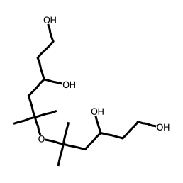 CC(C)(CC(O)CCO)OC(C)(C)CC(O)CCO